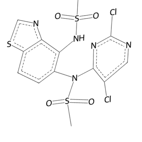 CS(=O)(=O)Nc1c(N(c2nc(Cl)ncc2Cl)S(C)(=O)=O)ccc2scnc12